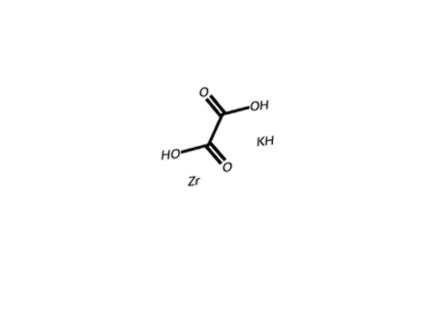 O=C(O)C(=O)O.[KH].[Zr]